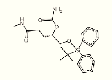 CNC(=O)CC[C@@H](CO[Si](c1ccccc1)(c1ccccc1)C(C)(C)C)OC(N)=O